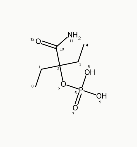 CCC(CC)(OP(=O)(O)O)C(N)=O